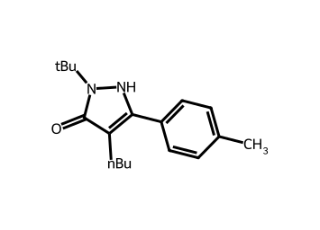 CCCCc1c(-c2ccc(C)cc2)[nH]n(C(C)(C)C)c1=O